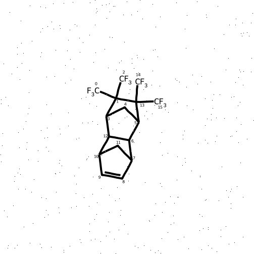 FC(F)(F)C1(C(F)(F)F)C2CC(C3C4C=CC(C4)C32)C1(C(F)(F)F)C(F)(F)F